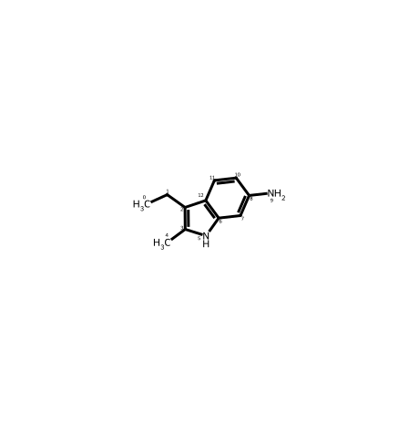 CCc1c(C)[nH]c2cc(N)ccc12